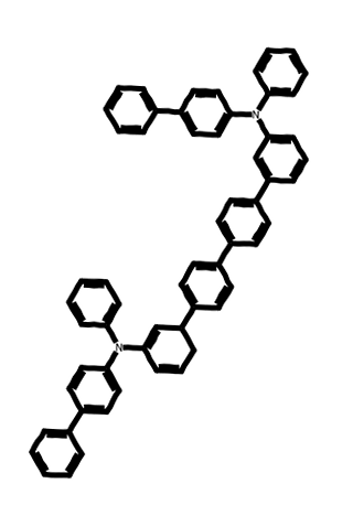 C1=CC(N(c2ccccc2)c2ccc(-c3ccccc3)cc2)=CC(c2ccc(-c3ccc(-c4cccc(N(c5ccccc5)c5ccc(-c6ccccc6)cc5)c4)cc3)cc2)C1